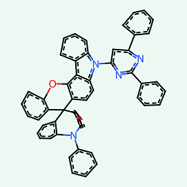 c1ccc(-c2cc(-n3c4ccccc4c4c5c(ccc43)C3(c4ccccc4O5)c4ccccc4N(c4ccccc4)c4ccccc43)nc(-c3ccccc3)n2)cc1